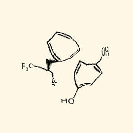 FC(F)(F)C(Br)c1ccccc1.Oc1ccc(O)cc1